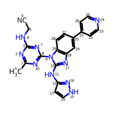 Cc1nc(NCC#N)nc(-n2c(Nc3cc[nH]n3)nc3cc(-c4ccncc4)ccc32)n1